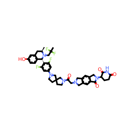 C[C@@H]1Cc2cc(O)ccc2[C@@H](c2c(F)cc(N3CCC4(CCN(C(=O)CN5Cc6cc7c(cc6C5)C(=O)N(C5CCC(=O)NC5=O)C7)C4)C3)cc2F)N1CC(C)(F)F